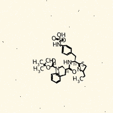 CCC1CSC([C@H](Cc2ccc(NS(=O)(=O)O)cc2)NC(=O)[C@H](CNC(=O)OC(C)(C)C)Cc2ccccc2)=N1